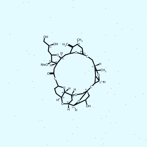 C=C1C2C[C@@H]3OC(C[C@H](O)CO)[C@H](OC)[C@H]3CC(=O)CC3CC[C@@H]4O[C@@H]5C[C@@H](OC[C@@]6(CC7C8C(C)[C@H](CC[C@@H](C[C@H]1C)O2)O[C@@H]78)CC(O)[C@@H]5O6)[C@H]4O3